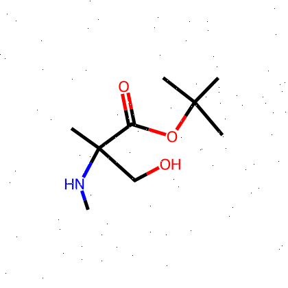 CNC(C)(CO)C(=O)OC(C)(C)C